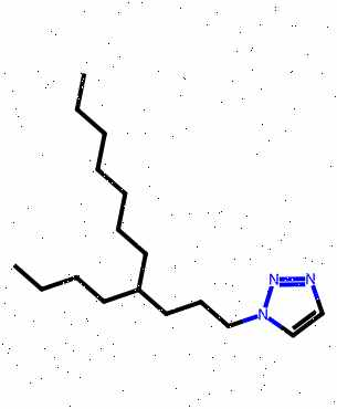 CCCCCCCC(CCCC)CCCn1ccnn1